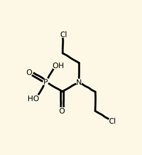 O=C(N(CCCl)CCCl)P(=O)(O)O